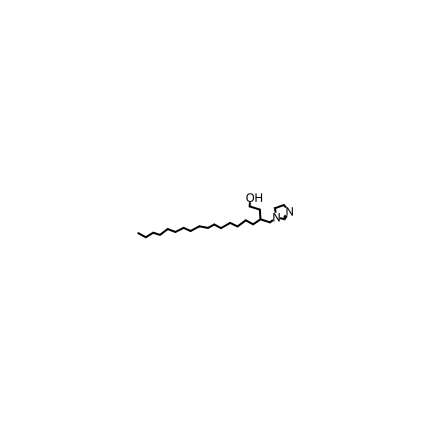 CCCCCCCCCCCCCCCCC(CCO)CN1C=NCC1